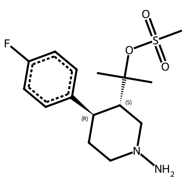 CC(C)(OS(C)(=O)=O)[C@@H]1CN(N)CC[C@H]1c1ccc(F)cc1